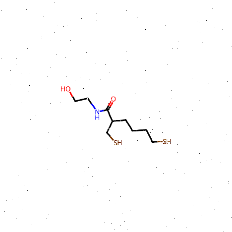 O=C(NCCO)C(CS)CCCCS